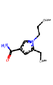 COCCn1cc(C(N)=O)cc1COC